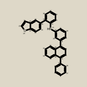 c1ccc(-c2ccc(-c3cccc(Nc4ccccc4-c4ccc5occc5c4)c3)c3ccccc23)cc1